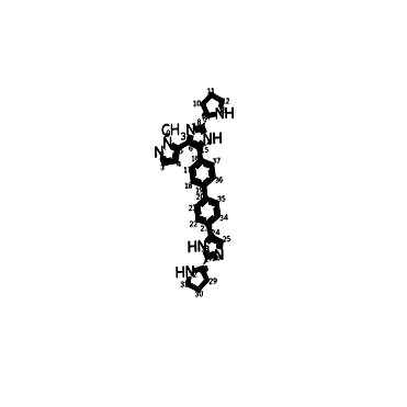 Cn1nccc1-c1nc([C@@H]2CCCN2)[nH]c1-c1ccc(-c2ccc(-c3cnc([C@@H]4CCCN4)[nH]3)cc2)cc1